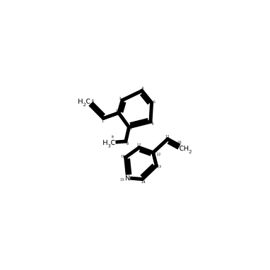 C=Cc1ccccc1CC.C=Cc1ccncc1